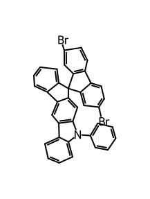 Brc1ccc2c(c1)C1(c3ccccc3-c3cc4c5ccccc5n(-c5ccccc5)c4cc31)c1cc(Br)ccc1-2